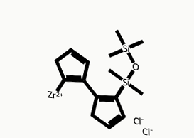 C[Si](C)(C)O[Si](C)(C)C1=C(C2=[C]([Zr+2])CC=C2)CC=C1.[Cl-].[Cl-]